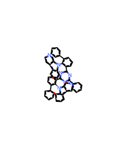 c1ccc(-c2nc(-c3cccc(-c4ccccc4)c3-n3c4ccccc4c4ccncc43)nc(-c3cccc(-c4ccccc4)c3-n3c4ccccc4c4ccncc43)n2)cc1